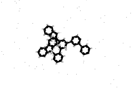 c1ccc(-c2cccc(-c3cc(-c4cc5ccccc5o4)nc(-c4ccccc4-n4c5ccccc5c5ccccc54)n3)c2)cc1